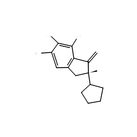 C[C@@]1(C2CCCC2)Cc2cc(O)c(Cl)c(Cl)c2C1=O